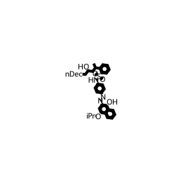 CCCCCCCCCCCC(O)CC(C)c1ccccc1S(=O)(=O)Nc1ccc(N=Nc2cc(OC(C)C)c3ccccc3c2O)cc1